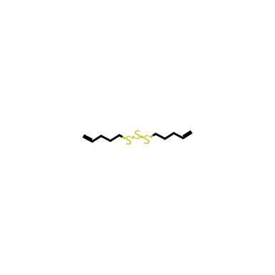 C=CCCCSSSCCCC=C